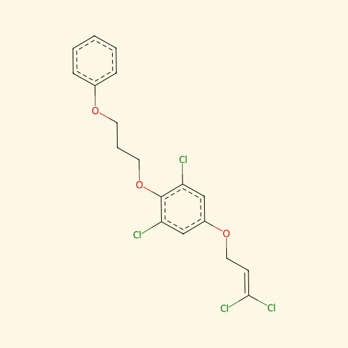 ClC(Cl)=CCOc1cc(Cl)c(OCCCOc2ccccc2)c(Cl)c1